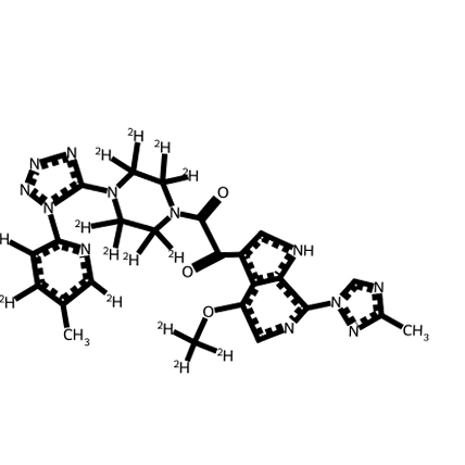 [2H]c1nc(-n2nnnc2N2C([2H])([2H])C([2H])([2H])N(C(=O)C(=O)c3c[nH]c4c(-n5cnc(C)n5)ncc(OC([2H])([2H])[2H])c34)C([2H])([2H])C2([2H])[2H])c([2H])c([2H])c1C